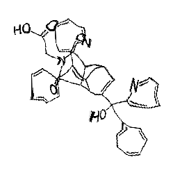 O=C(O)CN1C(=O)C2C3C=C(C(O)(c4ccccc4)c4ccccn4)C(C3=C(c3ccccc3)c3ccccn3)C2C1=O